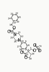 CS(=O)(=O)OCC1(c2ccc(N3CCN(C(=O)OCc4ccccc4)CC3)cc2)CCOC1=O